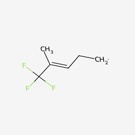 [CH2]C/C=C(\C)C(F)(F)F